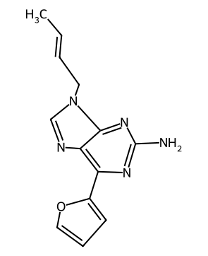 C/C=C/Cn1cnc2c(-c3ccco3)nc(N)nc21